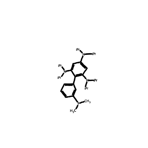 CC(C)N(c1cc(N(C(C)C)C(C)C)c(-c2cc[c]c(P(C)C)c2)c(N(C(C)C)C(C)C)c1)C(C)C